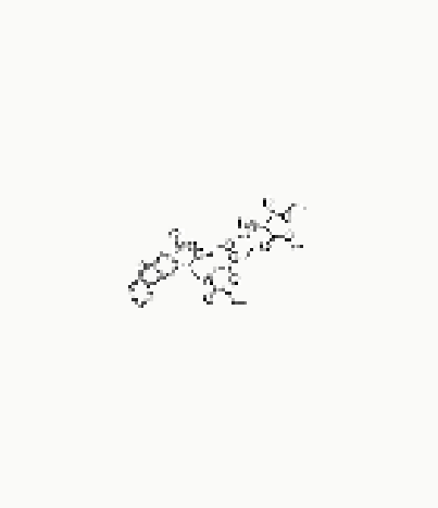 CCOC(=O)CN(CC(OCCOCCNC(C(=O)OCC)C(=O)OCC)c1cc2c(cc1[N+](=O)[O-])oc1ccccc12)C(=O)OCC